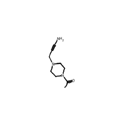 CC(=O)N1CCN(CC#CN)CC1